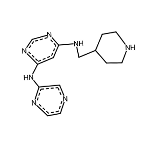 c1cnc(Nc2cc(NCC3CCNCC3)ncn2)cn1